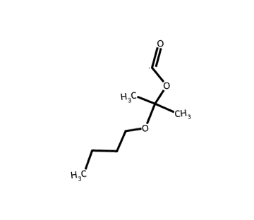 CCCCOC(C)(C)O[C]=O